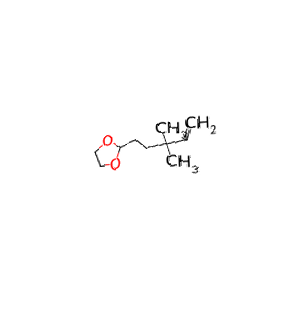 C=CC(C)(C)CCC1OCCO1